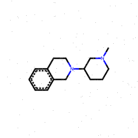 CN1CCCC(N2CCc3ccccc3C2)C1